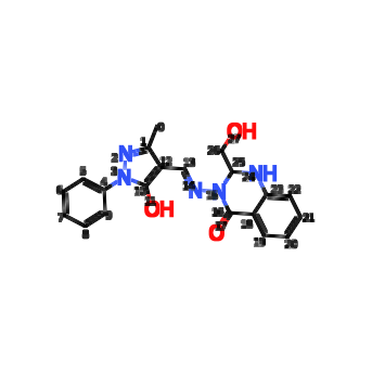 Cc1nn(-c2ccccc2)c(O)c1C=NN1C(=O)c2ccccc2NC1CO